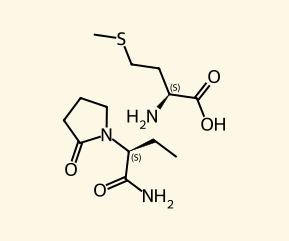 CC[C@@H](C(N)=O)N1CCCC1=O.CSCC[C@H](N)C(=O)O